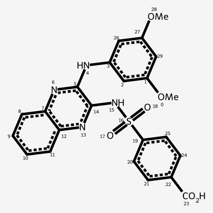 COc1cc(Nc2nc3ccccc3nc2NS(=O)(=O)c2ccc(C(=O)O)cc2)cc(OC)c1